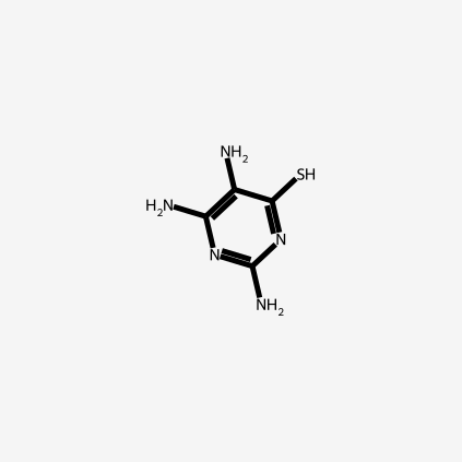 Nc1nc(N)c(N)c(S)n1